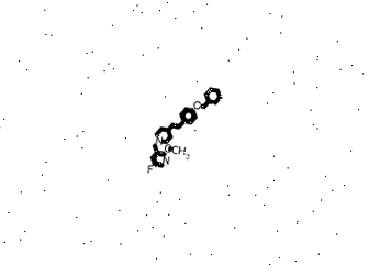 COc1ncc(F)cc1CN1CCC(C=Cc2ccc(OCC3CCCCC3)cc2)CC1